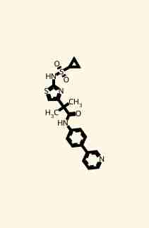 CC(C)(C(=O)Nc1ccc(-c2cccnc2)cc1)c1csc(NS(=O)(=O)C2CC2)n1